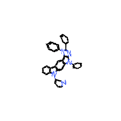 c1ccc(-c2nc3c(c4cc5c6ccccc6n(-c6cccnc6)c5cc4n3-c3ccccc3)n2-c2ccccc2)cc1